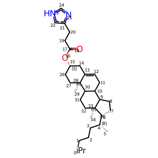 CC(C)CCC[C@@H](C)[C@H]1CCC2C3CC=C4C[C@@H](OC(=O)CCc5c[nH]cn5)CC[C@]4(C)C3CC[C@@]21C